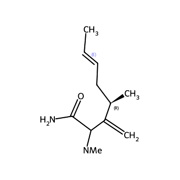 C=C(C(NC)C(N)=O)[C@H](C)C/C=C/C